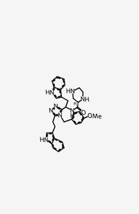 COc1ccc(Cn2c(CCc3c[nH]c4ccccc34)nnc2C(Cc2c[nH]c3ccccc23)NC(=O)[C@H]2CNCCN2)cc1